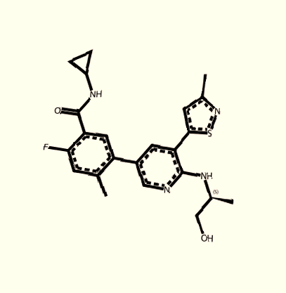 Cc1cc(-c2cc(-c3cc(C(=O)NC4CC4)c(F)cc3C)cnc2N[C@@H](C)CO)sn1